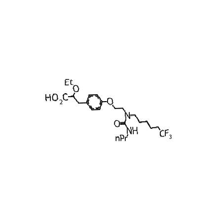 CCCNC(=O)N(CCCCCC(F)(F)F)CCOc1ccc(CC(OCC)C(=O)O)cc1